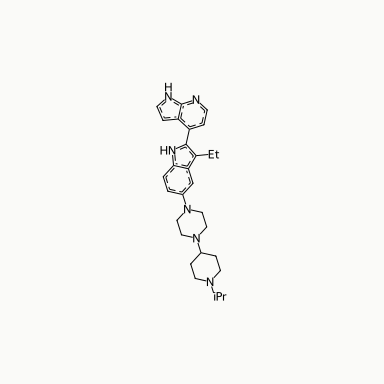 CCc1c(-c2ccnc3[nH]ccc23)[nH]c2ccc(N3CCN(C4CCN(C(C)C)CC4)CC3)cc12